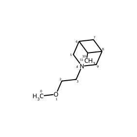 COCCN1CC2CC(C1)C2C